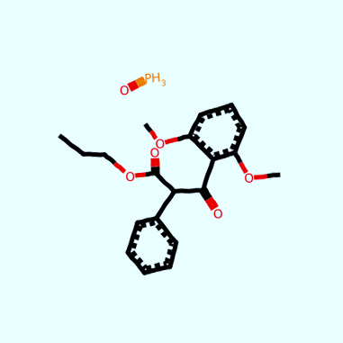 CCCOC(=O)C(C(=O)c1c(OC)cccc1OC)c1ccccc1.O=[PH3]